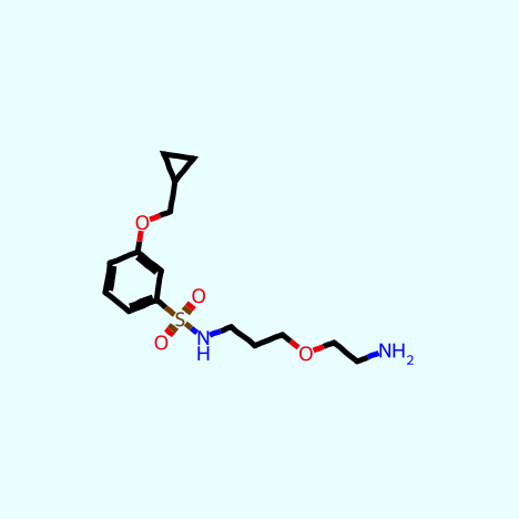 NCCOCCCNS(=O)(=O)c1cccc(OCC2CC2)c1